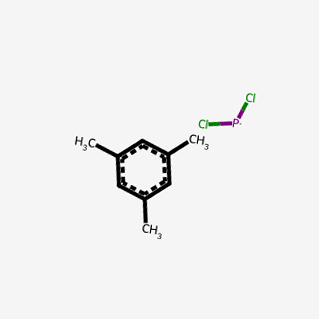 Cc1cc(C)cc(C)c1.Cl[P]Cl